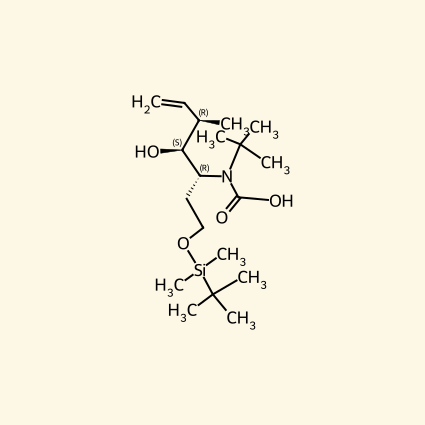 C=C[C@@H](C)[C@H](O)[C@@H](CCO[Si](C)(C)C(C)(C)C)N(C(=O)O)C(C)(C)C